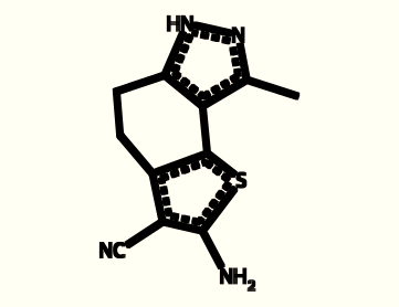 Cc1n[nH]c2c1-c1sc(N)c(C#N)c1CC2